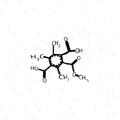 COC(=O)c1c(C)c(C(=O)O)c(C)c(C)c1C(=O)O